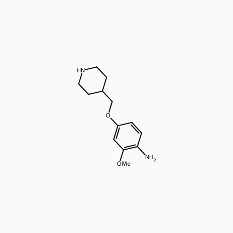 COc1cc(OCC2CCNCC2)ccc1N